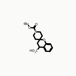 CC(C)(C)OC(=O)N1CCC2(CC1)CC(C(=O)O)c1ccccc1O2